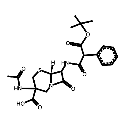 CC(=O)NC1(C(=O)O)CS[C@@H]2C(NC(=O)C(C(=O)OC(C)(C)C)c3ccccc3)C(=O)N2C1